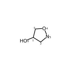 OC1C[N]OC1